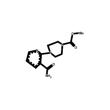 CC(C)(C)OC(=O)N1CCN(c2ncccc2C(N)=O)CC1